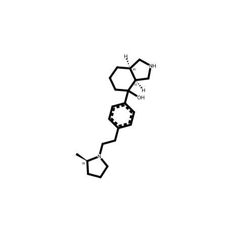 C[C@@H]1CCCN1CCc1ccc(C2(O)CCC[C@H]3CNC[C@H]32)cc1